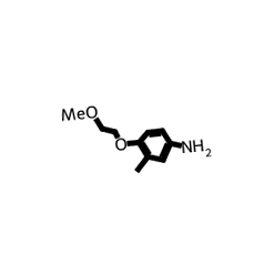 COCCOc1ccc(N)cc1C